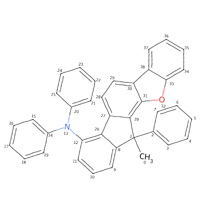 CC1(c2ccccc2)c2cccc(N(c3ccccc3)c3ccccc3)c2-c2ccc3c(oc4ccccc43)c21